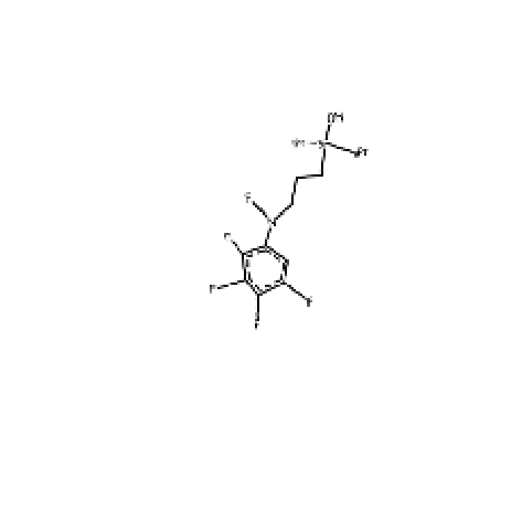 CC(C)[Si](O)(CCCN(F)c1cc(F)c(F)c(F)c1F)C(C)C